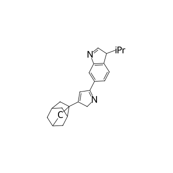 CC(C)C1C=Nc2cc(C3=NCC(C45CC6CC(CC4C6)C5)=C3)ccc21